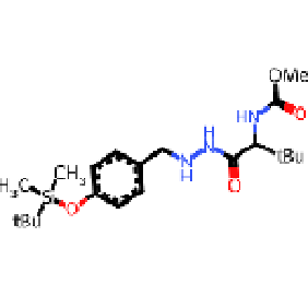 COC(=O)NC(C(=O)NNCc1ccc(O[Si](C)(C)C(C)(C)C)cc1)C(C)(C)C